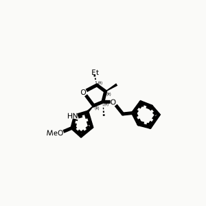 CC[C@H]1O[C@H](c2ccc(OC)[nH]2)[C@](C)(OCc2ccccc2)[C@@H]1C